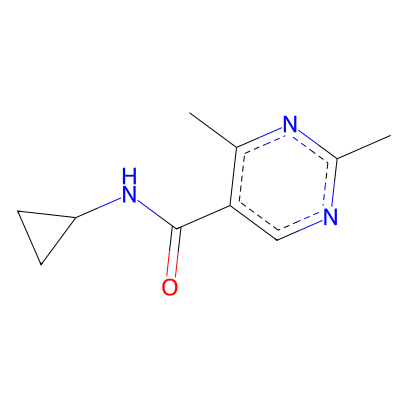 Cc1ncc(C(=O)NC2CC2)c(C)n1